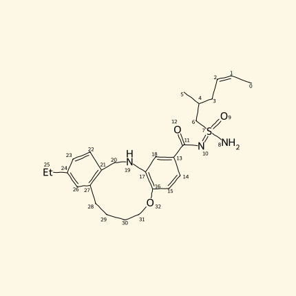 C/C=C\CC(C)CS(N)(=O)=NC(=O)c1ccc2c(c1)NCc1ccc(CC)cc1CCCCO2